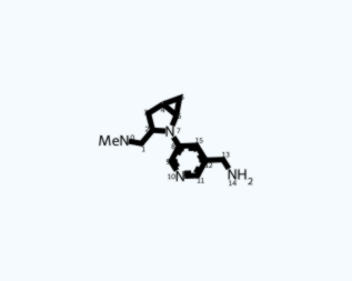 CNCC1CC2CC2N1c1cncc(CN)c1